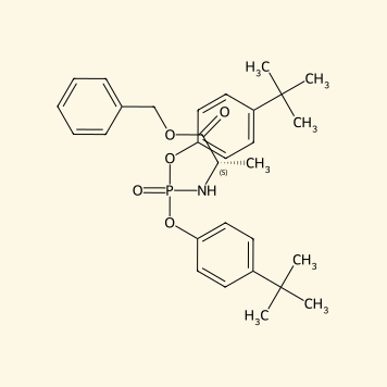 C[C@H](NP(=O)(Oc1ccc(C(C)(C)C)cc1)Oc1ccc(C(C)(C)C)cc1)C(=O)OCc1ccccc1